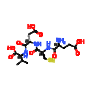 CC(C)[C@H](NC(=O)[C@H](CC(=O)O)NC(=O)[C@H](CS)NC(=O)[C@@H](N)CCC(=O)O)C(=O)O